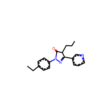 CCCC1C(=O)N(c2ccc(CC)cc2)N=C1c1cccnc1